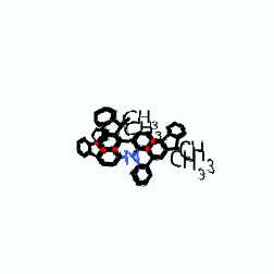 CC1(C)c2ccccc2-c2ccc(-c3ccccc3N(c3ccc4c(c3)C3(CCCC3)c3ccccc3-4)c3ccccc3-c3cccc4c3C(C)(C)c3ccccc3-4)cc21